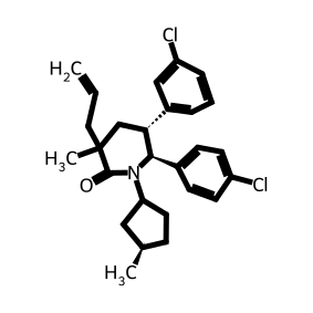 C=CCC1(C)C[C@H](c2cccc(Cl)c2)[C@@H](c2ccc(Cl)cc2)N(C2CC[C@@H](C)C2)C1=O